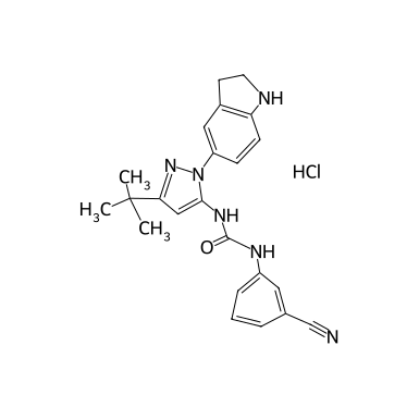 CC(C)(C)c1cc(NC(=O)Nc2cccc(C#N)c2)n(-c2ccc3c(c2)CCN3)n1.Cl